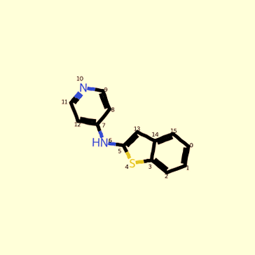 c1ccc2sc(Nc3ccncc3)cc2c1